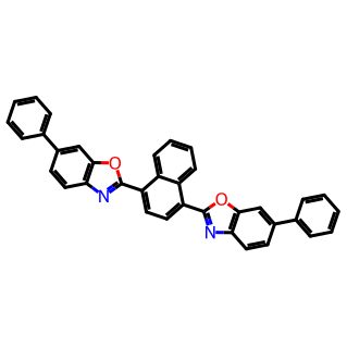 c1ccc(-c2ccc3nc(-c4ccc(-c5nc6ccc(-c7ccccc7)cc6o5)c5ccccc45)oc3c2)cc1